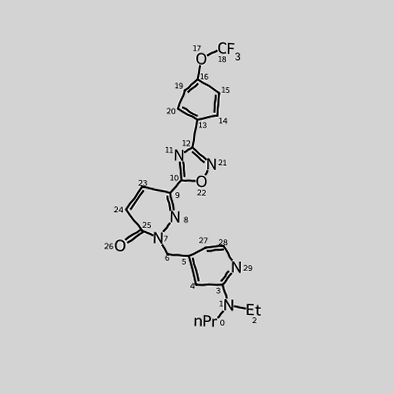 CCCN(CC)c1cc(Cn2nc(-c3nc(-c4ccc(OC(F)(F)F)cc4)no3)ccc2=O)ccn1